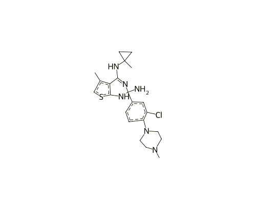 Cc1csc2c1C(NC1(C)CC1)=NC(N)(c1ccc(N3CCN(C)CC3)c(Cl)c1)N2